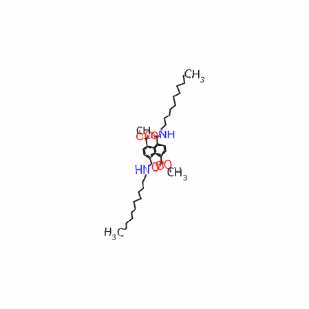 CCCCCCCCCCCCNC(=O)c1ccc(C(=O)OC)c2c(C(=O)NCCCCCCCCCCCC)ccc(C(=O)OC)c12